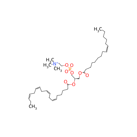 CC/C=C\C/C=C\C/C=C\C/C=C\CCCCC(=O)O[C@H](COC(=O)CCCCCCC/C=C\CCCCC)COP(=O)([O-])OCC[N+](C)(C)C